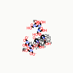 CC(C)(O)CON1C(C)(C)CC(=O)CC1(C)C.CC(C)(O)CON1C(C)(C)CC(=O)CC1(C)C.O=C(O)CN(CCN(CC(=O)O)CC(=O)O)CCN(CC(=O)O)CC(=O)O.O=C([O-])CN(CCN(CCN(CC(=O)[O-])CC(=O)O)CC(=O)O)CC(=O)[O-].[K+].[K+].[K+]